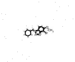 COc1ccc2c(nnn2CC2CCCCC2)c1Br